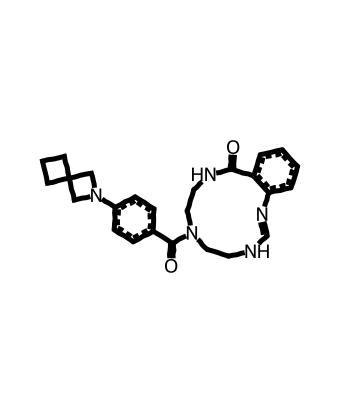 O=C1NCCN(C(=O)c2ccc(N3CC4(CCC4)C3)cc2)CCN/C=N/c2ccccc21